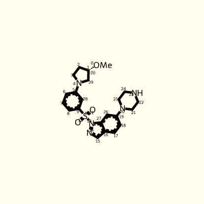 CO[C@H]1CCN(c2cccc(S(=O)(=O)n3ncc4ccc(N5CCNCC5)cc43)c2)C1